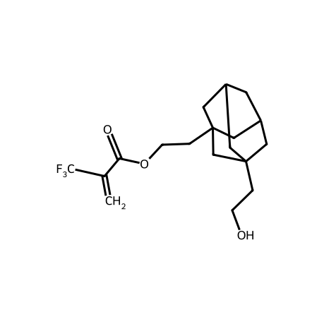 C=C(C(=O)OCCC12CC3CC(CC(CCO)(C3)C1)C2)C(F)(F)F